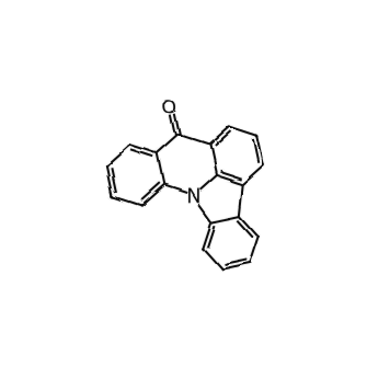 O=c1c2ccccc2n2c3ccccc3c3cccc1c32